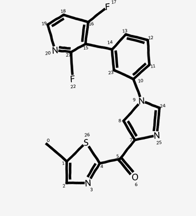 Cc1cnc(C(=O)c2cn(-c3cccc(-c4c(F)ccnc4F)c3)cn2)s1